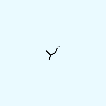 C[C]CC(C)C